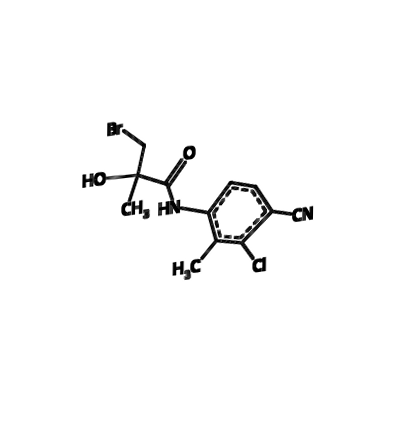 Cc1c(NC(=O)C(C)(O)CBr)ccc(C#N)c1Cl